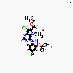 CCOC(C)c1c(Cl)c2ncnc(Nc3ccc(F)cc3OC(C)C)c2n1C